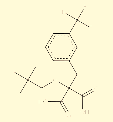 CC(C)(C)COC(Cc1cccc(C(F)(F)F)c1)(C(=O)O)C(=O)O